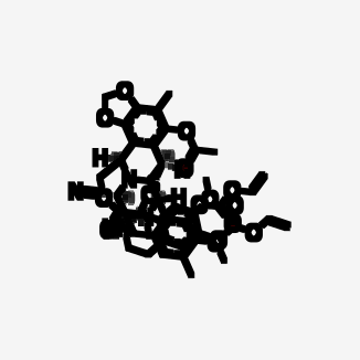 C=COC(=O)Oc1cc2c(cc1OC)[C@@]1(CS[C@@H]3c4c(OC(C)=O)c(C)c5c(c4[C@H](COC1=O)N1C3[C@@H]3c4c(cc(C)c(OC)c4OC(=O)OC=C)C[C@@H]([C@@H]1C#N)N3C)OCO5)NCC2